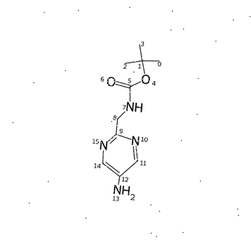 CC(C)(C)OC(=O)NCc1ncc(N)cn1